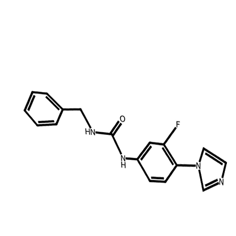 O=C(NCc1ccccc1)Nc1ccc(-n2ccnc2)c(F)c1